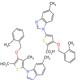 Cc1ccc2c(c1)ncn2-c1cc(OCc2ccccc2C)c(C(=O)O)s1.Cc1ccc2ncn(-c3sc(C(=O)O)c(OCc4ccccc4C)c3C)c2c1